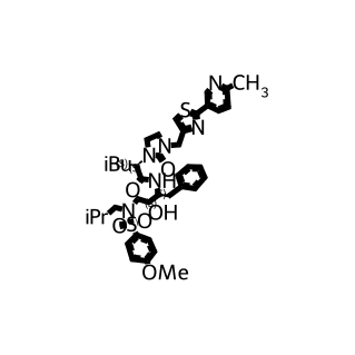 CC[C@H](C)[C@@H](C(=O)N[C@@H](Cc1ccccc1)[C@@H](O)CN(CC(C)C)S(=O)(=O)c1ccc(OC)cc1)N1CCN(Cc2csc(-c3ccc(C)nc3)n2)C1=O